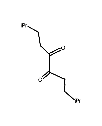 CC(C)CCC(=O)C(=O)CCC(C)C